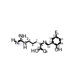 [H]/N=C(\N)NCCC[C@H](N=Cc1cc(F)ccc1O)C(=O)O